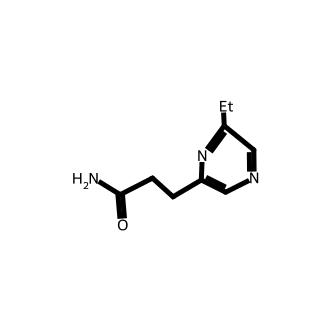 CCc1cncc(CCC(N)=O)n1